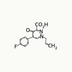 C=CCn1cc(-c2ccc(F)cc2)c(=O)c(C(=O)O)n1